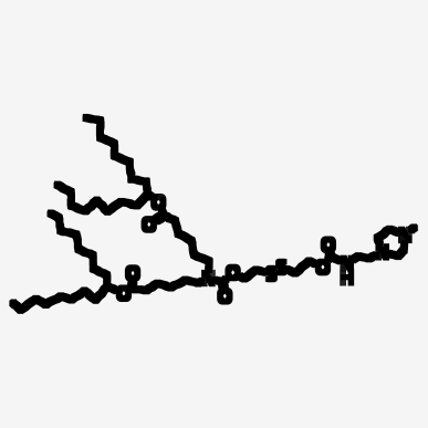 CCCCCCCCC(CCCCCCCC)OC(=O)CCCCCN(CCCCCC(=O)OC(CCCCCCCC)CCCCCCCC)C(=O)OCCSSCCOC(=O)NCCN1CCN(C)CC1